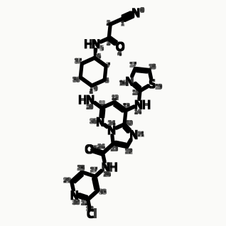 N#CCC(=O)N[C@H]1CC[C@H](Nc2cc(Nc3nccs3)c3ncc(C(=O)Nc4ccnc(Cl)c4)n3n2)CC1